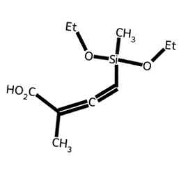 CCO[Si](C)(C=C=C(C)C(=O)O)OCC